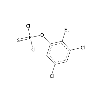 CCc1c(Cl)cc(Cl)cc1OP(=S)(Cl)Cl